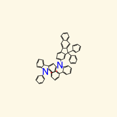 c1ccc(-c2ccccc2N(c2ccc3c(c2)C(c2ccccc2)(c2ccccc2)c2cc4ccccc4cc2-3)c2ccc3c(c2)c2ccccc2n3-c2ccccc2)cc1